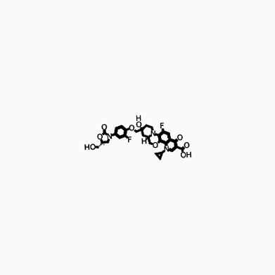 O=C(O)c1cn(C2CC2)c2c3c(c(F)cc2c1=O)N1CC[C@](O)(COc2ccc(N4C[C@H](CO)OC4=O)cc2F)C[C@@H]1CO3